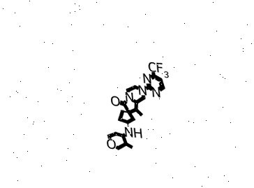 CC1COCCC1N[C@@H]1CC[C@@]2(C1)C(=O)N1CCN(c3nccc(C(F)(F)F)n3)CC1C2C